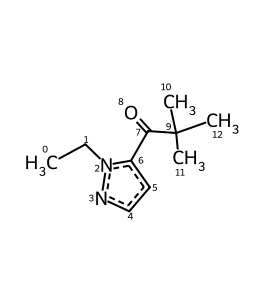 CCn1nccc1C(=O)C(C)(C)C